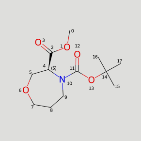 COC(=O)[C@@H]1COCCCN1C(=O)OC(C)(C)C